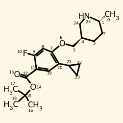 C[C@@H]1CC[C@@H](COc2cc(F)c(C(=O)OC(C)(C)C)cc2C2CC2)CN1